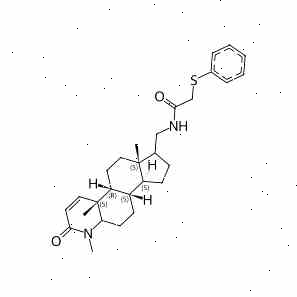 CN1C(=O)C=C[C@@]2(C)C1CC[C@@H]1[C@H]2CC[C@]2(C)C(CNC(=O)CSc3ccccc3)CC[C@@H]12